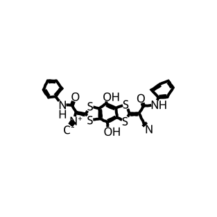 [C-]#[N+]C(C(=O)Nc1ccccc1)=C1Sc2c(O)c3c(c(O)c2S1)SC(=C(C#N)C(=O)Nc1ccccc1)S3